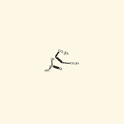 CCOC(=O)/C=C\C(=O)OCC.O=[PH](O)O